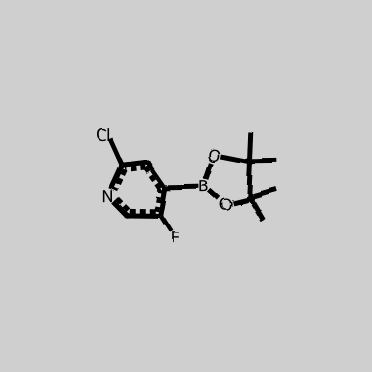 CC1(C)OB(c2cc(Cl)ncc2F)OC1(C)C